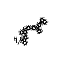 CC1(C)c2ccccc2-c2ccc(-c3cc4c5cc(-c6ccc(N(c7ccccc7)c7ccc(-c8cccc9ccccc89)cc7)cc6)ccc5oc4c4ccccc34)cc21